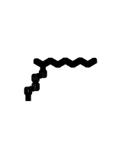 CCCCCCCC(C)OOOOC